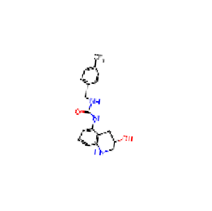 O=C(NCc1ccc(C(F)(F)F)cc1)Nc1cccc2c1CC(O)CN2